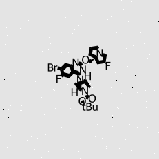 CC(C)(C)OC(=O)N1C[C@H]2C[C@@H]1CN2c1nc(OC[C@@]23CCCN2C[C@H](F)C3)nc2cc(Br)c(F)cc12